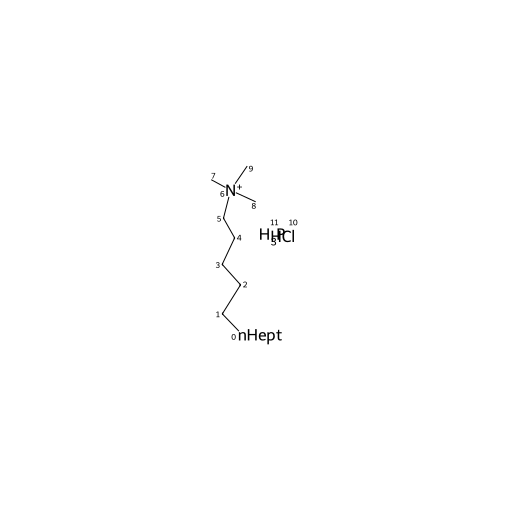 CCCCCCCCCCCC[N+](C)(C)C.Cl.P